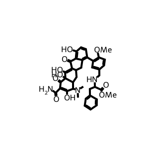 COC(=O)C(Cc1ccccc1)NCc1ccc(OC)c(-c2ccc(O)c3c2CC2CC4C(N(C)C)C(O)=C(C(N)=O)C(=O)C4(O)C(O)=C2C3=O)c1